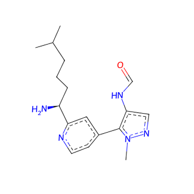 CC(C)CCC[C@H](N)c1cc(-c2c(NC=O)cnn2C)ccn1